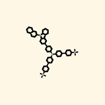 C[Si](C)(C)c1ccc(-c2ccc(N(c3ccc(-c4ccc([Si](C)(C)C)cc4)cc3)c3ccc(-c4ccc5c(c4)c4ccccc4n5-c4ccc5ccccc5c4)cc3)cc2)cc1